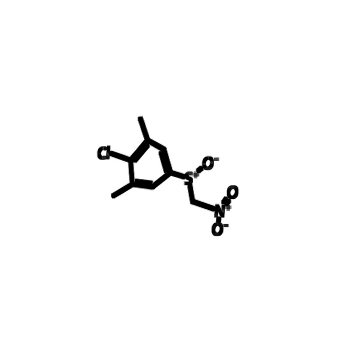 Cc1cc([S+]([O-])C[N+](=O)[O-])cc(C)c1Cl